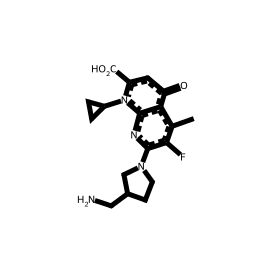 Cc1c(F)c(N2CCC(CN)C2)nc2c1c(=O)cc(C(=O)O)n2C1CC1